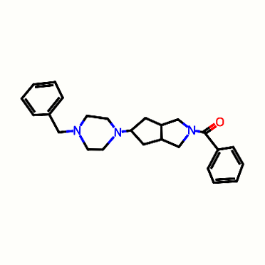 O=C(c1ccccc1)N1CC2CC(N3CCN(Cc4ccccc4)CC3)CC2C1